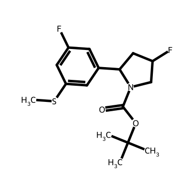 CSc1cc(F)cc(C2CC(F)CN2C(=O)OC(C)(C)C)c1